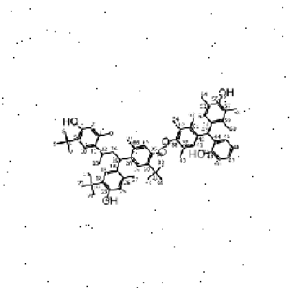 Cc1cc(O)c(C(C)(C)C)cc1C(C)CC(c1cc(C(C)(C)C)c(O)cc1C)c1cc(C(C)(C)C)c(OOc2c(C)cc(C(c3ccccc3O)c3cc(C)c(O)c(C)c3C)c(C)c2C)cc1C